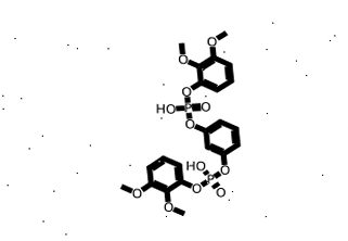 COc1cccc(OP(=O)(O)Oc2cccc(OP(=O)(O)Oc3cccc(OC)c3OC)c2)c1OC